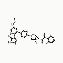 CCOc1cc(-c2ccc(N3CC4[C@H](C3)[C@H]4NC(=O)c3c(C)cccc3Cl)nc2)c2c3cn[nH]c3nn2c1